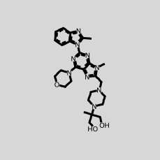 Cc1nc2ccccc2n1-c1nc(N2CCOCC2)c2nc(CN3CCN(C(C)(CO)CO)CC3)n(C)c2n1